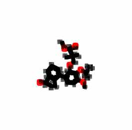 [2H]C([2H])Oc1c(OC)ccc(-c2cccc3c2CCC3=O)c1OCC(C)(C)C(=O)OC